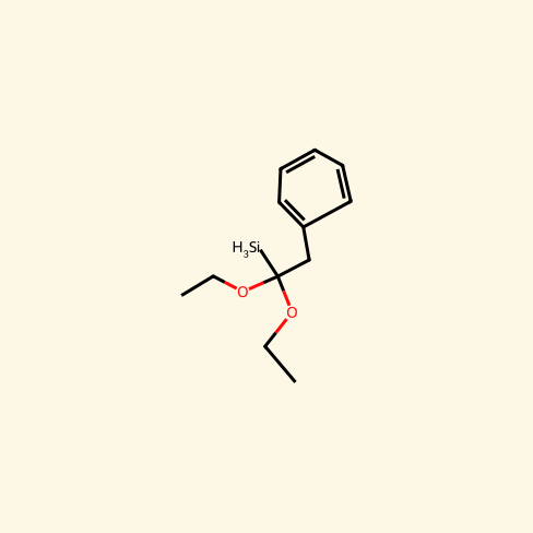 CCOC([SiH3])(Cc1ccccc1)OCC